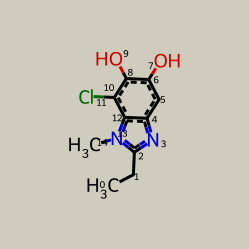 CCc1nc2cc(O)c(O)c(Cl)c2n1C